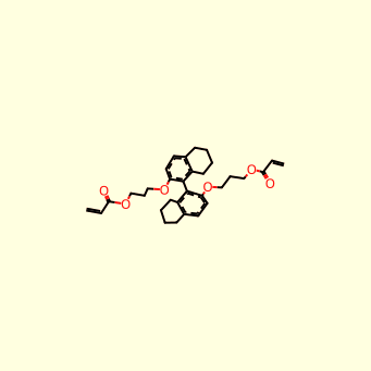 C=CC(=O)OCCCOc1ccc2c(c1-c1c(OCCCOC(=O)C=C)ccc3c1CCCC3)CCCC2